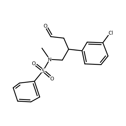 CN(CC(CC=O)c1cccc(Cl)c1)S(=O)(=O)c1ccccc1